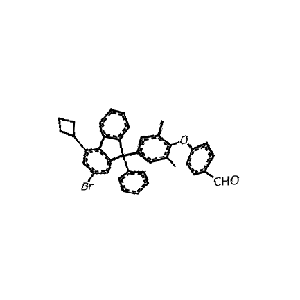 Cc1cc(C2(c3ccccc3)c3ccccc3-c3c(C4CCC4)cc(Br)cc32)cc(C)c1Oc1ccc(C=O)cc1